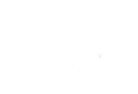 C=CCc1cccc2s[nH]c(=O)c12